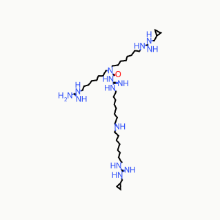 N=C(N)NCCCCCCCCN(CCCCCCCCNC(=N)NCC1CC1)C(=O)NC(=N)NCCCCCCCCNCCCCCCCCNC(=N)NCC1CC1